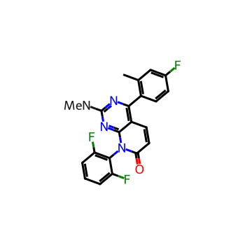 CNc1nc(-c2ccc(F)cc2C)c2ccc(=O)n(-c3c(F)cccc3F)c2n1